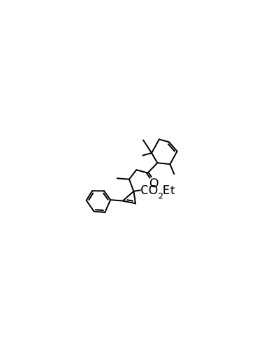 CCOC(=O)C1(C(C)CC(=O)C2C(C)C=CCC2(C)C)C=C1c1ccccc1